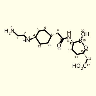 NCCN[C@H]1CC[C@H](CC(=O)N[C@H]2CC[C@@H](CC(=O)O)OB2O)CC1